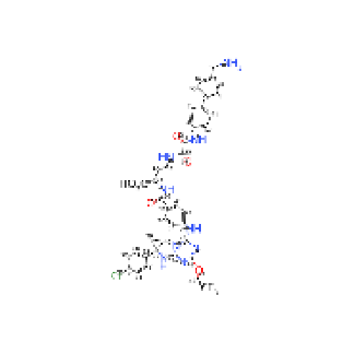 NCc1ccc(-c2ccc(NC(=O)C(=O)NCC[C@H](NC(=O)c3ccc(Nc4nc(NC5(c6ccc(Cl)cc6)CC5)nc(OCC(F)(F)F)n4)cc3)C(=O)O)cc2)cc1